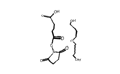 O=C(O)CCC(=O)ON1C(=O)CCC1=O.OCCOCCO